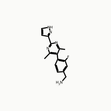 Cc1nc(-c2cc[nH]n2)nc(C)c1-c1ccc(CN)cc1F